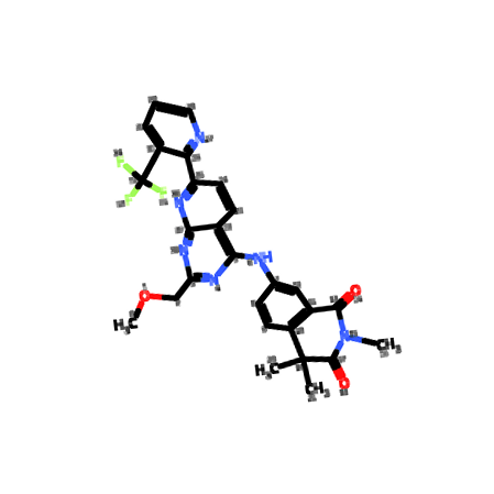 COCc1nc(Nc2ccc3c(c2)C(=O)N(C)C(=O)C3(C)C)c2ccc(-c3ncccc3C(F)(F)F)nc2n1